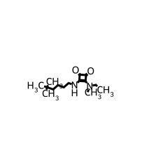 CCN(C)c1c(NCCCCC(C)(C)C)c(=O)c1=O